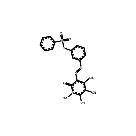 Cc1c(C#N)c(O)n(C)c(=O)c1N=Nc1cccc(OS(=O)(=O)c2ccccc2)c1